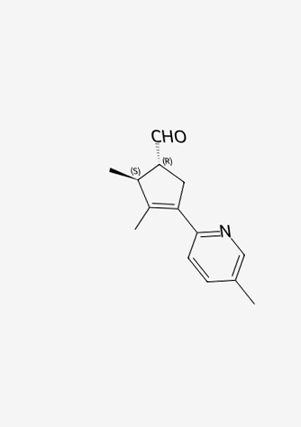 CC1=C(c2ccc(C)cn2)C[C@@H](C=O)[C@@H]1C